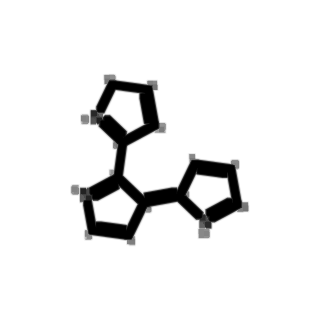 C1=CC(=C2C=CN=C2C2=NCC=C2)N=C1